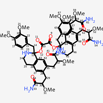 COc1ccc(CC2(OC(=O)C(=O)OC3(Cc4ccc(OC)c(OC)c4)NCCc4cc(CC(OC)C(N)=O)c(CC(OC)C(N)=O)cc43)NCCc3cc(CC(OC)C(N)=O)c(CC(OC)C(N)=O)cc32)cc1OC